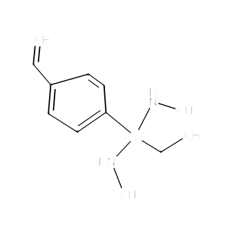 C=Cc1ccc([Si](CC)(NC)NC)cc1